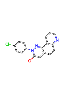 O=c1cc2ccc3ncccc3c2nn1-c1ccc(Cl)cc1